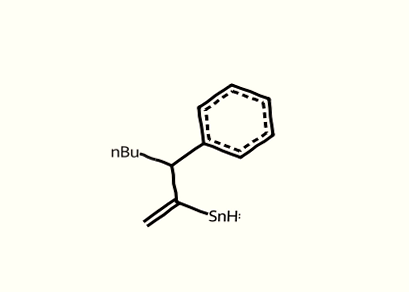 C=[C]([SnH])C(CCCC)c1ccccc1